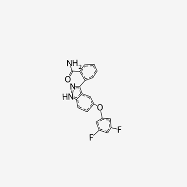 NC(=O)c1ccccc1-c1n[nH]c2ccc(Oc3cc(F)cc(F)c3)cc12